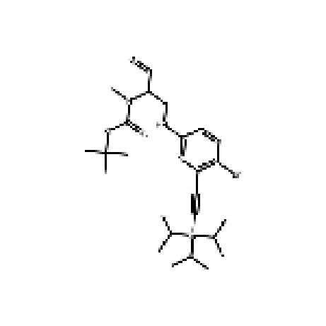 CC(C)[Si](C#Cc1nc(NCC(C=O)N(C)C(=O)OC(C)(C)C)ccc1Br)(C(C)C)C(C)C